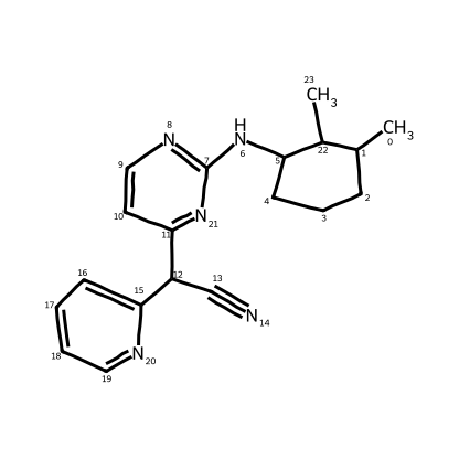 CC1CCCC(Nc2nccc(C(C#N)c3ccccn3)n2)C1C